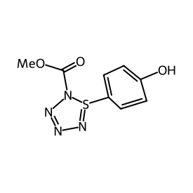 COC(=O)N1N=NN=S1c1ccc(O)cc1